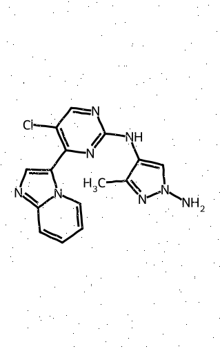 Cc1nn(N)cc1Nc1ncc(Cl)c(-c2cnc3ccccn23)n1